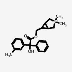 Cc1cccc(C(O)(C(=O)OCC2C3C[N+](C)(C)CC23)c2ccccc2)c1